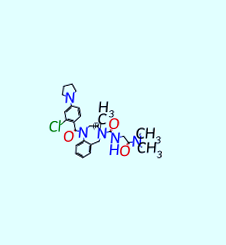 C[C@@H]1CN(C(=O)c2ccc(N3CCCC3)cc2Cl)c2ccccc2CN1C(=O)NCC(=O)N(C)C